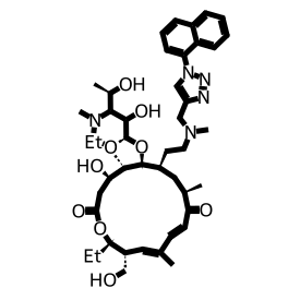 CCO[C@@H](O[C@H]1[C@@H](CCN(C)Cc2cn(-c3cccc4ccccc34)nn2)C[C@@H](C)C(=O)/C=C/C(C)=C/[C@H](CO)[C@@H](CC)OC(=O)C[C@@H](O)[C@@H]1C)C(O)C([C@@H](C)O)N(C)C